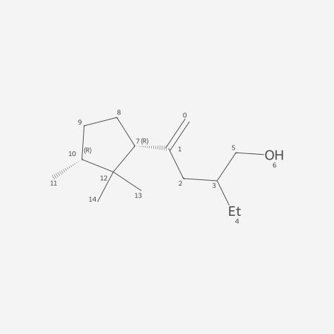 C=C(CC(CC)CO)[C@H]1CC[C@@H](C)C1(C)C